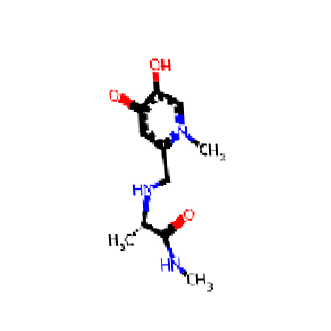 CNC(=O)[C@H](C)NCc1cc(=O)c(O)cn1C